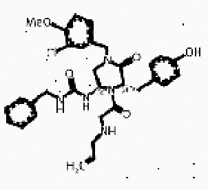 C=CCNCC(=O)N1[C@@H](NC(=O)NCc2ccccc2)CN(Cc2ccc(OC)c(Cl)c2)C(=O)[C@@H]1Cc1ccc(O)cc1